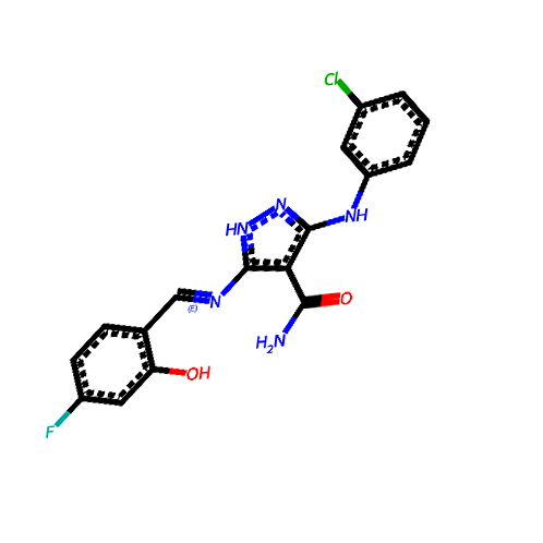 NC(=O)c1c(Nc2cccc(Cl)c2)n[nH]c1/N=C/c1ccc(F)cc1O